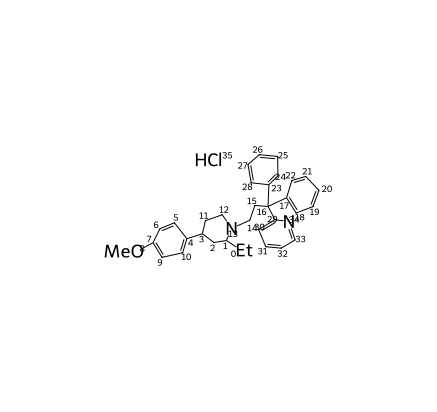 CCC1CC(c2ccc(OC)cc2)CCN1CCC(c1ccccc1)(c1ccccc1)c1ccccn1.Cl